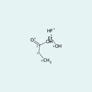 CCC(=O)O.CCO.F